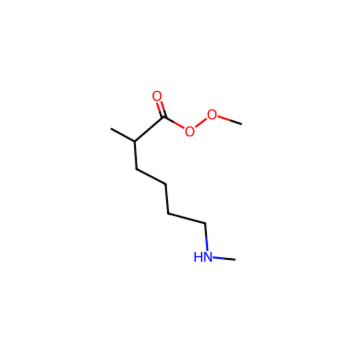 CNCCCCC(C)C(=O)OOC